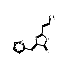 CC=CC1=NC(=Cc2cccs2)C(=O)O1